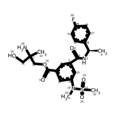 C[C@@H](NC(=O)c1cc(C(=O)OCC(C)(N)CO)cc(N(C)S(C)(=O)=O)c1)c1ccc(F)cc1